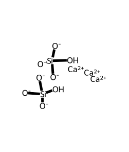 [Ca+2].[Ca+2].[Ca+2].[O-][Si]([O-])([O-])O.[O-][Si]([O-])([O-])O